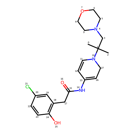 CC(C)(CN1CCOCC1)N1C=CC(NC(=O)Cc2cc(Cl)ccc2O)=CC1